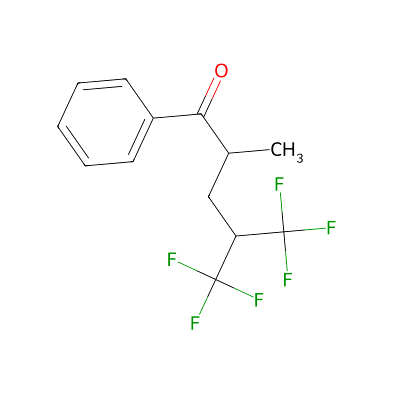 CC(CC(C(F)(F)F)C(F)(F)F)C(=O)c1ccccc1